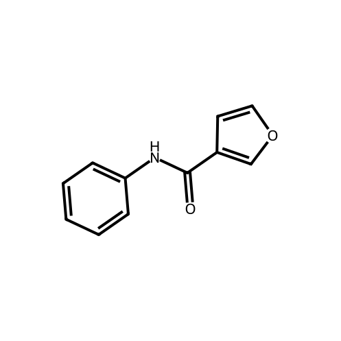 O=C(Nc1ccccc1)c1ccoc1